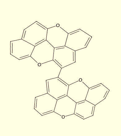 c1cc2ccc3oc4cccc5cc(-c6cc7cccc8oc9ccc%10cccc%11oc6c(c78)-c9c%10%11)c6oc(c1)c2c3-c6c54